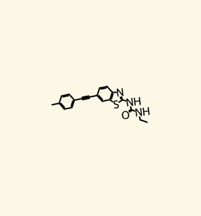 CCNC(=O)Nc1nc2ccc(C#Cc3ccc(C)cc3)cc2s1